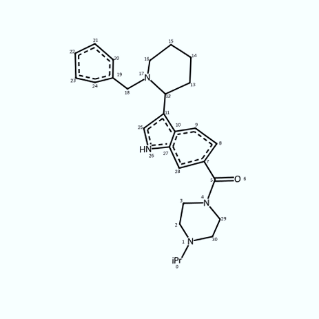 CC(C)N1CCN(C(=O)c2ccc3c(C4CCCCN4Cc4ccccc4)c[nH]c3c2)CC1